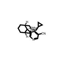 CO[C@@]1(c2cncc(C#N)c2)[C@@H]2CCC[C@H]1CN(CC1CC1)C2